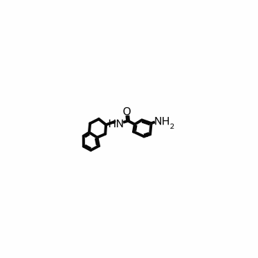 Nc1c[c]cc(C(=O)NCC2CCc3ccccc3C2)c1